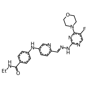 CCNC(=O)c1ccc(Nc2ccc(/C=N/Nc3ncc(F)c(N4CCOCC4)n3)nc2)cc1